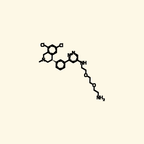 CN1Cc2c(Cl)cc(Cl)cc2[C@H](c2cccc(-c3cc(NCCOCCOCCN)cnn3)c2)C1